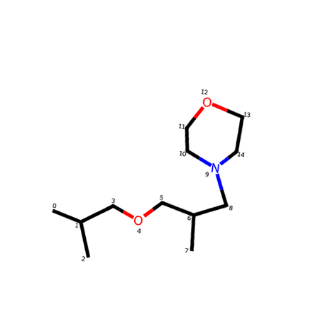 CC(C)COCC(C)CN1CCOCC1